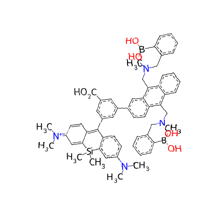 CN(Cc1ccccc1B(O)O)Cc1c2ccccc2c(CN(C)Cc2ccccc2B(O)O)c2cc(-c3cc(C(=O)O)cc(C4=C5C=CC(=[N+](C)C)C=C5[Si](C)(C)c5cc(N(C)C)ccc54)c3)ccc12